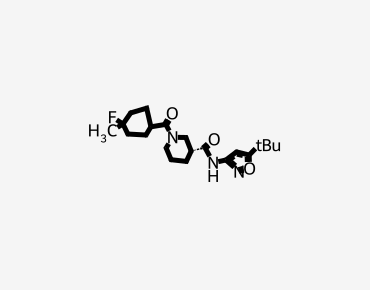 CC1(F)CCC(C(=O)N2CCC[C@@H](C(=O)Nc3cc(C(C)(C)C)on3)C2)CC1